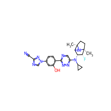 C[C@]12CC[C@](C)(N1)[C@H](F)[C@H](N(c1cnc(-c3ccc(-n4cnc(C#N)n4)cc3O)nn1)C1CC1)C2